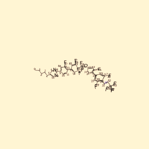 CCCCCc1cnc(-c2ccc(-c3cc(F)c(C(F)(F)Oc4ccc(-c5cc(F)c(/C=C/C(F)(F)F)c(F)c5)c(F)c4)c(F)c3)c(F)c2)nc1